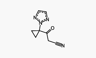 N#CCC(=O)C1(n2nccn2)CC1